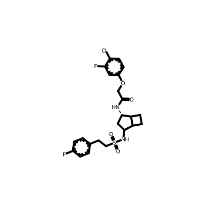 O=C(COc1ccc(Cl)c(F)c1)N[C@H]1CC(NS(=O)(=O)CCc2ccc(F)cc2)C2CCC21